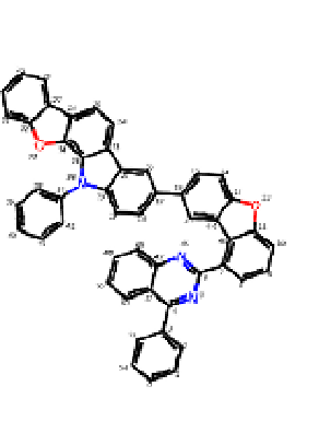 c1ccc(-c2nc(-c3cccc4oc5ccc(-c6ccc7c(c6)c6ccc8c9ccccc9oc8c6n7-c6ccccc6)cc5c34)nc3ccccc23)cc1